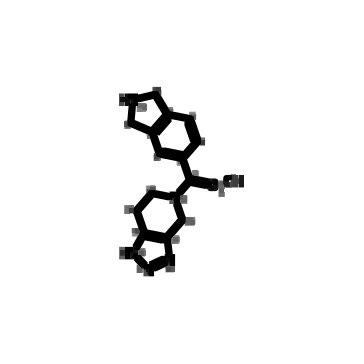 Cl.O=C(c1ccc2c(c1)CNC2)N1CCc2[nH]nnc2C1